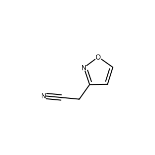 N#CCc1ccon1